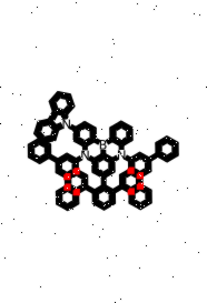 c1ccc(-c2cc(-c3ccccc3)cc(N3c4ccccc4B4c5ccc(-n6c7ccccc7c7ccccc76)cc5N(c5cc(-c6ccccc6)cc(-c6ccccc6)c5)c5cc(-c6c(-c7ccccc7)cccc6-c6ccccc6)cc3c54)c2)cc1